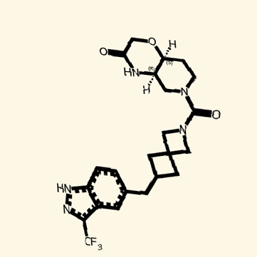 O=C1CO[C@H]2CCN(C(=O)N3CC4(CC(Cc5ccc6[nH]nc(C(F)(F)F)c6c5)C4)C3)C[C@H]2N1